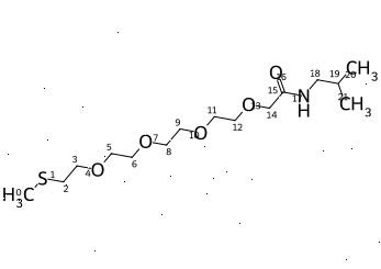 CSCCOCCOCCOCCOCC(=O)NCC(C)C